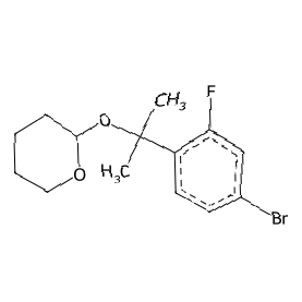 CC(C)(OC1CCCCO1)c1ccc(Br)cc1F